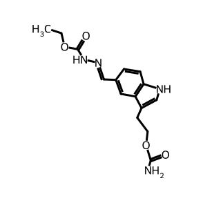 CCOC(=O)NN=Cc1ccc2[nH]cc(CCOC(N)=O)c2c1